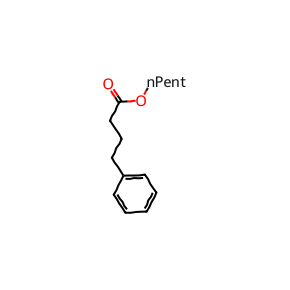 CCCCCOC(=O)CCCc1ccccc1